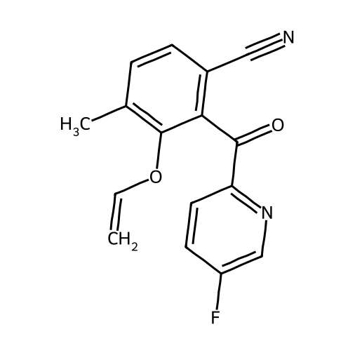 C=COc1c(C)ccc(C#N)c1C(=O)c1ccc(F)cn1